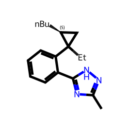 CCCC[C@H]1CC1(CC)c1ccccc1-c1nc(C)n[nH]1